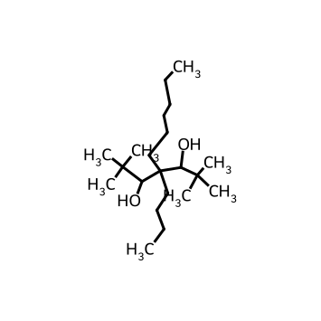 CCCCCCC(CCCC)(C(O)C(C)(C)C)C(O)C(C)(C)C